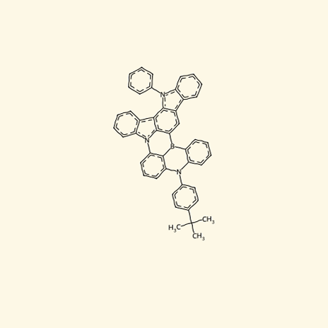 CC(C)(C)c1ccc(N2c3ccccc3B3c4c2cccc4-n2c4ccccc4c4c2c3cc2c3ccccc3n(-c3ccccc3)c24)cc1